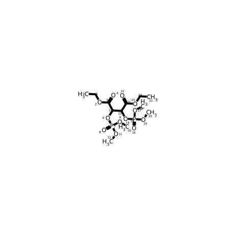 CCOC(=O)C(OP(=O)(OC)OC)C(OP(=O)(OC)OC)C(=O)OCC